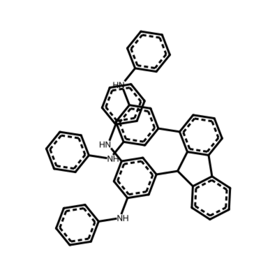 c1ccc(Nc2cc(Nc3ccccc3)cc(-c3cccc4c3C(c3cc(Nc5ccccc5)cc(Nc5ccccc5)c3)c3ccccc3-4)c2)cc1